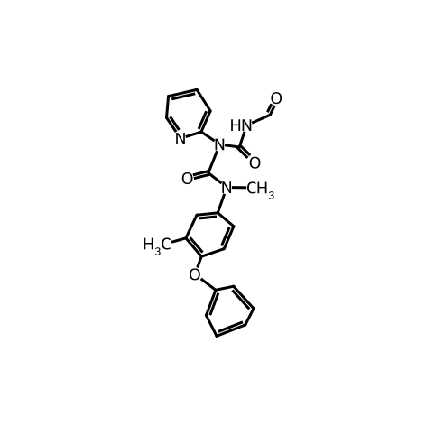 Cc1cc(N(C)C(=O)N(C(=O)NC=O)c2ccccn2)ccc1Oc1ccccc1